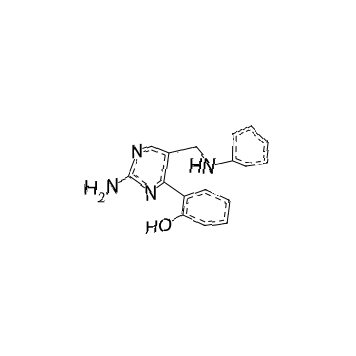 Nc1ncc(CNc2ccccc2)c(-c2ccccc2O)n1